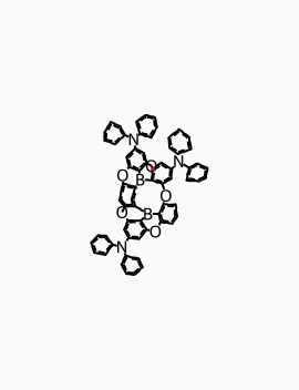 c1ccc(N(c2ccccc2)c2cc3c4c(c2)Oc2cccc5c2B4c2cc4c(cc2O3)Oc2cc(N(c3ccccc3)c3ccccc3)cc3c2B4c2c(cc(N(c4ccccc4)c4ccccc4)cc2O5)O3)cc1